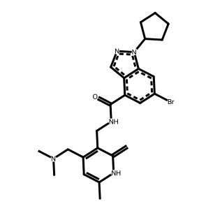 C=C1NC(C)=CC(CN(C)C)=C1CNC(=O)c1cc(Br)cc2c1cnn2C1CCCC1